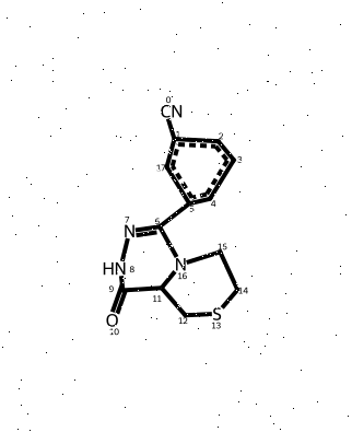 N#Cc1cccc(C2=NNC(=O)C3CSCCN23)c1